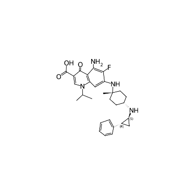 CC(C)n1cc(C(=O)O)c(=O)c2c(N)c(F)c(N[C@]3(C)CC[C@H](N[C@H]4C[C@@H]4c4ccccc4)CC3)cc21